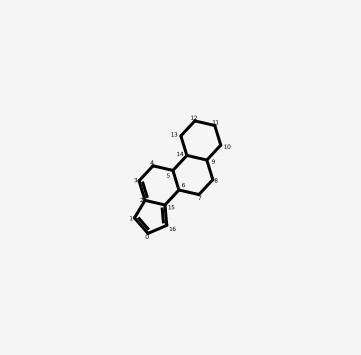 C1=CC2=CCC3C(CCC4CCCCC43)C2=C1